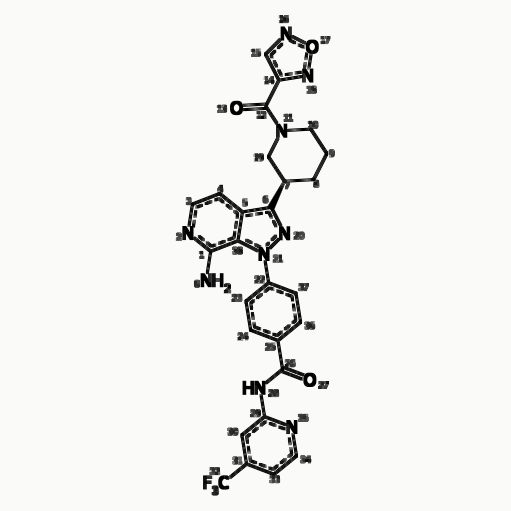 Nc1nccc2c([C@@H]3CCCN(C(=O)c4cnon4)C3)nn(-c3ccc(C(=O)Nc4cc(C(F)(F)F)ccn4)cc3)c12